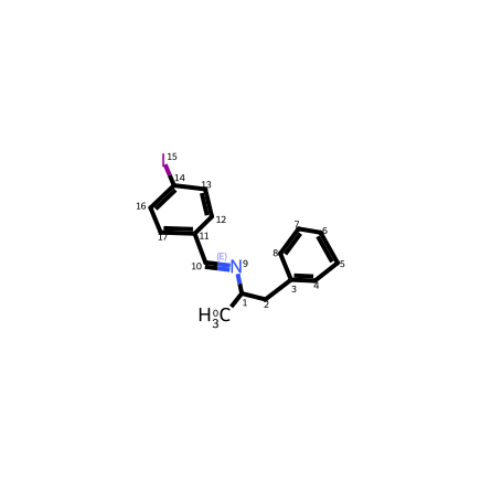 CC(Cc1ccccc1)/N=C/c1ccc(I)cc1